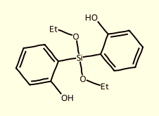 CCO[Si](OCC)(c1ccccc1O)c1ccccc1O